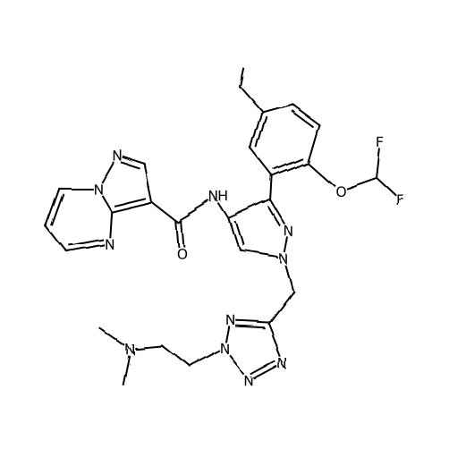 CCc1ccc(OC(F)F)c(-c2nn(Cc3nnn(CCN(C)C)n3)cc2NC(=O)c2cnn3cccnc23)c1